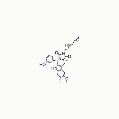 COCCNCCN1C(=O)N2[C@H](c3cccc(O)c3)c3[nH]c4cc(F)c(OC)cc4c3C[C@@]2(C)C1=O